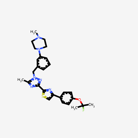 Cc1nc(-c2nc(-c3ccc(OC(C)(C)F)cc3)cs2)nn1Cc1cccc(N2CCN(C)CC2)c1